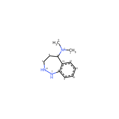 CN(C)C1CCNNc2ccccc21